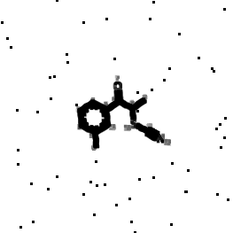 Cc1cccc(C(=O)C(C)SC#N)c1